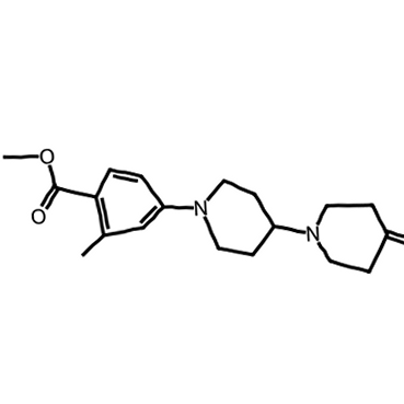 COC(=O)c1ccc(N2CCC(N3CCC(=O)CC3)CC2)cc1C